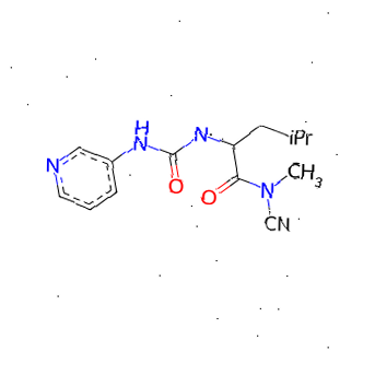 CC(C)CC([N]C(=O)Nc1cccnc1)C(=O)N(C)C#N